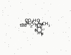 Cn1c(=O)n([C@H]2C[C@H](N(C(=O)O)C(C)(C)C)C2)c2ncc(F)cc21